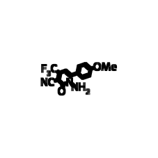 COc1ccc(-c2cc(C(F)(F)F)c(C#N)c(=O)n2N)cc1